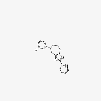 Fc1cccc(C2CCCc3oc(-c4ccccn4)nc3C2)c1